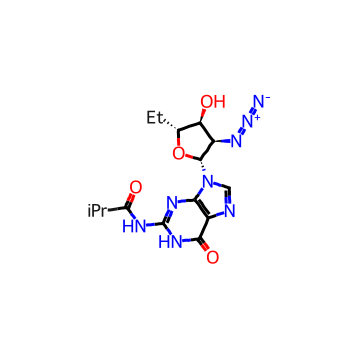 CC[C@H]1O[C@@H](n2cnc3c(=O)[nH]c(NC(=O)C(C)C)nc32)[C@H](N=[N+]=[N-])[C@@H]1O